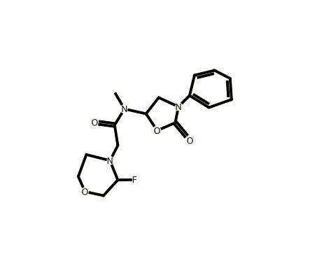 CN(C(=O)CN1CCOCC1F)C1CN(c2ccccc2)C(=O)O1